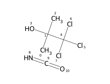 CC(C)(O)C(Cl)(Cl)Cl.N=C=O